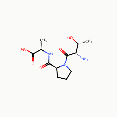 C[C@H](NC(=O)[C@@H]1CCCN1C(=O)[C@@H](N)[C@@H](C)O)C(=O)O